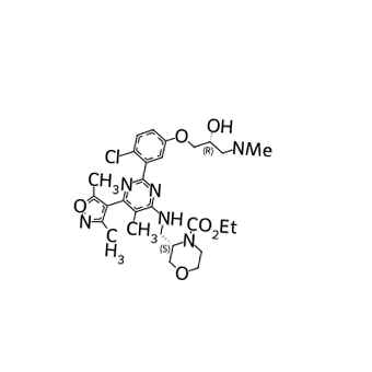 CCOC(=O)N1CCOC[C@@H]1CNc1nc(-c2cc(OC[C@H](O)CNC)ccc2Cl)nc(-c2c(C)noc2C)c1C